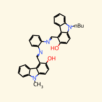 CCCCn1c2ccccc2c2c(/C=N/c3ccccc3/N=C/c3c(O)ccc4c3c3ccccc3n4C)c(O)ccc21